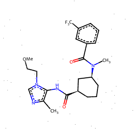 COCCn1cnc(C)c1NC(=O)[C@@H]1CCC[C@H](N(C)C(=O)c2cccc(C(F)(F)F)c2)C1